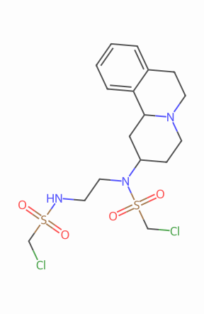 O=S(=O)(CCl)NCCN(C1CCN2CCc3ccccc3C2C1)S(=O)(=O)CCl